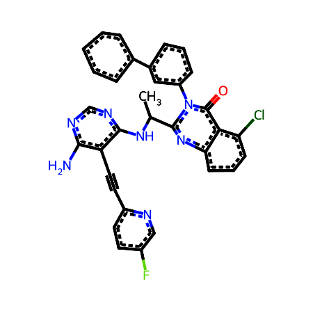 CC(Nc1ncnc(N)c1C#Cc1ccc(F)cn1)c1nc2cccc(Cl)c2c(=O)n1-c1cccc(-c2ccccc2)c1